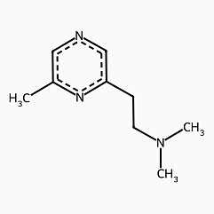 Cc1cncc(CCN(C)C)n1